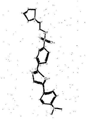 CN(C)c1ccc(-c2cnc(-c3ccc(S(=O)(=O)NCCN4CCCC4)cc3)o2)cc1